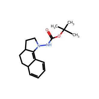 CC(C)(C)OC(=O)NN1CCC2CCC3C=CC=CC3=C21